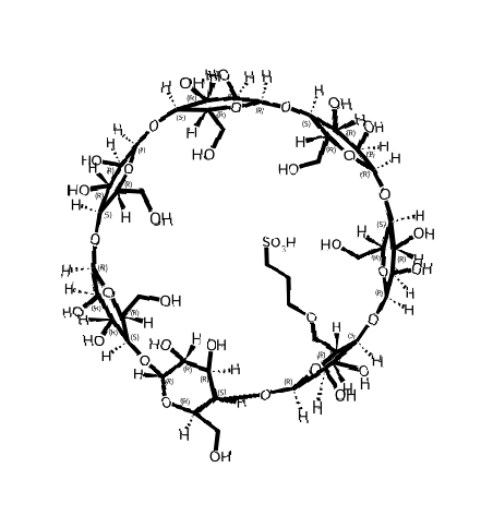 O=S(=O)(O)CCCOC[C@H]1O[C@@H]2O[C@H]3[C@H](O)[C@@H](O)[C@@H](O[C@H]4[C@H](O)[C@@H](O)[C@@H](O[C@H]5[C@H](O)[C@@H](O)[C@@H](O[C@H]6[C@H](O)[C@@H](O)[C@@H](O[C@H]7[C@H](O)[C@@H](O)[C@@H](O[C@H]8[C@H](O)[C@@H](O)[C@@H](O[C@H]1[C@H](O)[C@H]2O)O[C@@H]8CO)O[C@@H]7CO)O[C@@H]6CO)O[C@@H]5CO)O[C@@H]4CO)O[C@@H]3CO